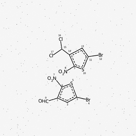 O=Cc1cc(Br)sc1[N+](=O)[O-].O=[N+]([O-])c1sc(Br)cc1C(Cl)Cl